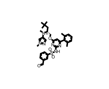 Cc1cccc(C)c1-c1cc(OC[C@@H](CC(C)(C)C)N(C)c2cnn(C)c2)nc(NS(=O)(=O)c2cccc(C=O)c2)n1